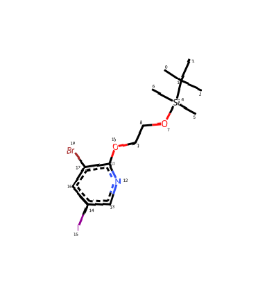 CC(C)(C)[Si](C)(C)OCCOc1ncc(I)cc1Br